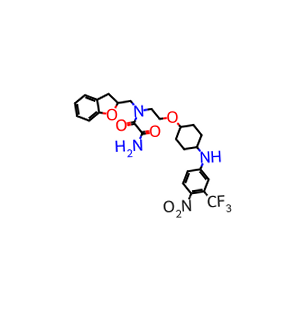 NC(=O)C(=O)N(CCOC1CCC(Nc2ccc([N+](=O)[O-])c(C(F)(F)F)c2)CC1)CC1Cc2ccccc2O1